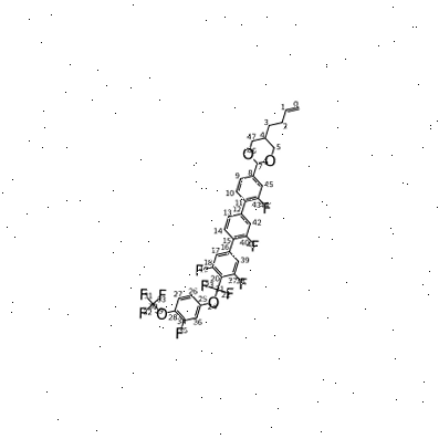 C=CCCC1COC(c2ccc(-c3ccc(-c4cc(F)c(C(F)(F)Oc5ccc(OC(F)(F)F)c(F)c5)c(F)c4)c(F)c3)c(F)c2)OC1